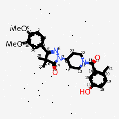 COc1ccc(C2=NN(C3CCN(C(=O)c4cc(O)ccc4C)CC3)C(=O)C2(C)C)cc1OC